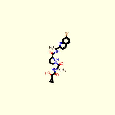 CC(NC(=O)[C@@H]1CCCN(C(=O)[C@H](C)NC(=O)C(O)C2CC2)N1)c1ccc2ccc(Br)cc2n1